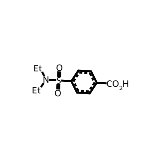 CCN(CC)S(=O)(=O)c1ccc(C(=O)O)cc1